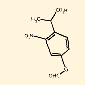 CC(C(=O)O)c1ccc(OC=O)cc1[N+](=O)[O-]